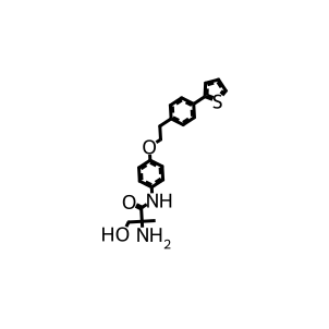 CC(N)(CO)C(=O)Nc1ccc(OCCc2ccc(-c3cccs3)cc2)cc1